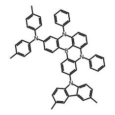 Cc1ccc(N(c2ccc(C)cc2)c2ccc3c(c2)N(c2ccccc2)c2cccc4c2B3c2ccc(-n3c5ccc(C)cc5c5cc(C)ccc53)cc2N4c2ccccc2)cc1